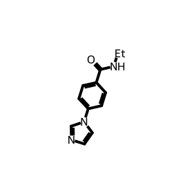 CCNC(=O)c1ccc(-n2ccnc2)cc1